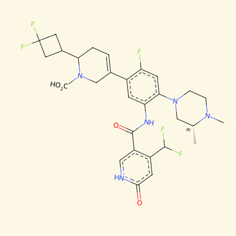 C[C@@H]1CN(c2cc(F)c(C3=CCC(C4CC(F)(F)C4)N(C(=O)O)C3)cc2NC(=O)c2c[nH]c(=O)cc2C(F)F)CCN1C